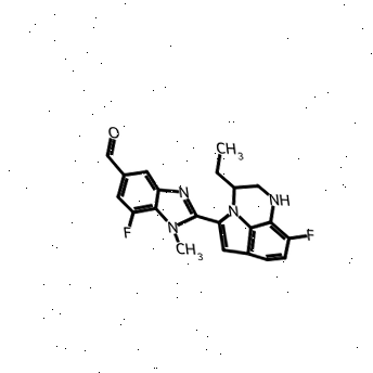 CCC1CNc2c(F)ccc3cc(-c4nc5cc(C=O)cc(F)c5n4C)n1c23